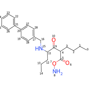 CCCCC(C(=O)ON)C(=O)C(CCC)NCc1ccc(-c2ccccc2)cc1